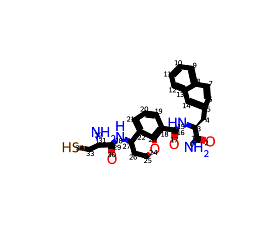 NC(=O)[C@H](Cc1ccc2ccccc2c1)NC(=O)c1cccc2c1OCCC2NC(=O)[C@@H](N)CS